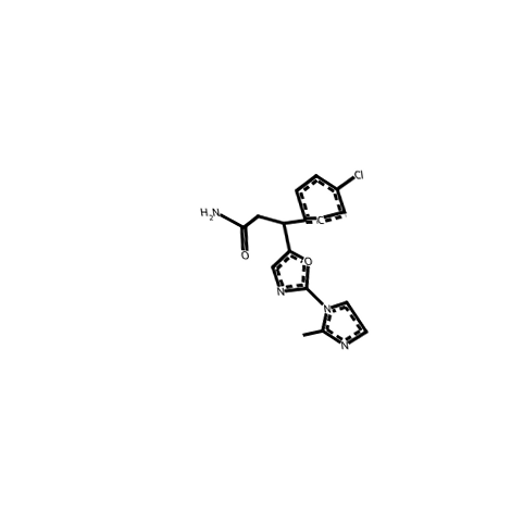 Cc1nccn1-c1ncc(C(CC(N)=O)c2ccc(Cl)cc2)o1